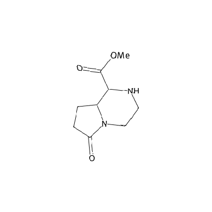 COC(=O)C1NCCN2C(=O)CCC12